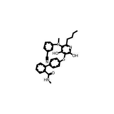 CCCCc1nc(O)c(Sc2ccc(-c3ccccc3C(=O)NC)cc2)c(O)c1N(C)c1cccc(C#N)c1